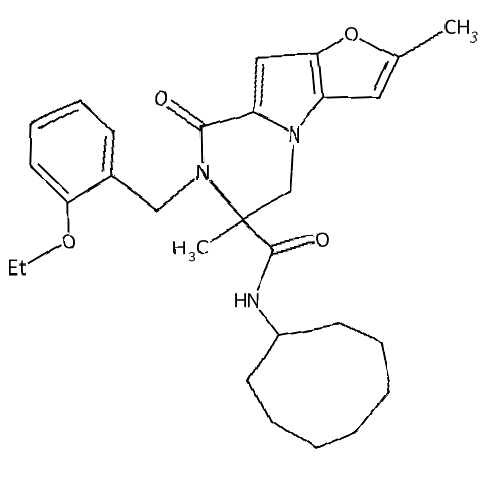 CCOc1ccccc1CN1C(=O)c2cc3oc(C)cc3n2CC1(C)C(=O)NC1CCCCCCC1